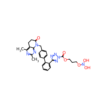 Cc1nc(C)c2c(n1)N(Cc1ccc(-c3ccccc3-c3nnn(C(=O)OCCCON(O)O)n3)cc1)C(=O)CC2